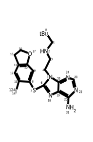 CC(C)(C)CNCCn1c(Sc2cc3c(cc2[124I])CCO3)nc2c(N)ncnc21